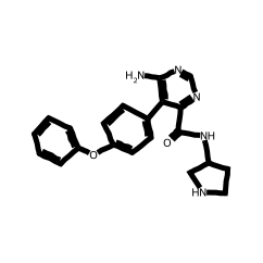 Nc1ncnc(C(=O)NC2CCNC2)c1-c1ccc(Oc2ccccc2)cc1